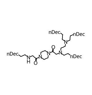 CCCCCCCCCCCCNCC(=O)N1CCN(C(=O)CN(CCCCCCCCCCCC)CCN(CCCCCCCCCCCC)CCCCCCCCCCCC)CC1